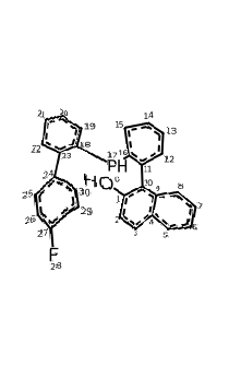 Oc1ccc2ccccc2c1-c1ccccc1Pc1ccccc1-c1ccc(F)cc1